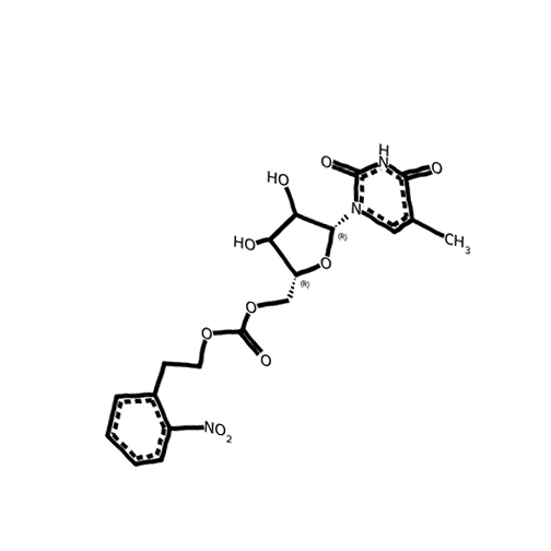 Cc1cn([C@@H]2O[C@H](COC(=O)OCCc3ccccc3[N+](=O)[O-])C(O)C2O)c(=O)[nH]c1=O